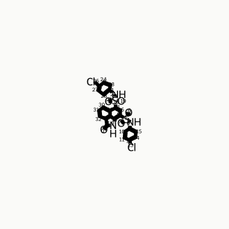 O=C1Nc2c(S(=O)(=O)Nc3ccc(Cl)cc3)cc(S(=O)(=O)Nc3ccc(Cl)cc3)c3cccc1c23